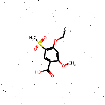 CCOc1cc(OC)c(C(=O)O)cc1S(C)(=O)=O